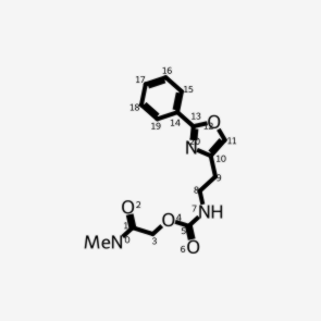 CNC(=O)COC(=O)NCCc1coc(-c2ccccc2)n1